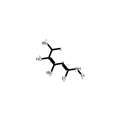 CCN/C(=C/C(=C(/O)C(C)C(C)(C)C)C(C)(C)C)CC